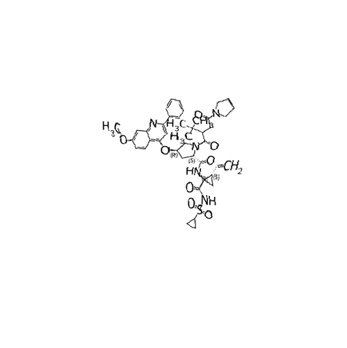 C=C[C@@H]1C[C@]1(NC(=O)[C@@H]1C[C@@H](Oc2cc(-c3ccccc3)nc3cc(OC)ccc23)CN1C(=O)C(CC(=O)N1CCCC1)C(C)(C)C)C(=O)NS(=O)(=O)C1CC1